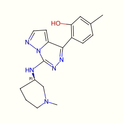 Cc1ccc(-c2nnc(N[C@@H]3CCCN(C)C3)n3nccc23)c(O)c1